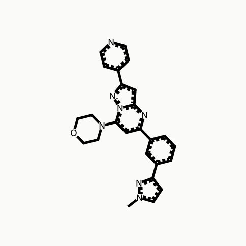 Cn1ccc(-c2cccc(-c3cc(N4CCOCC4)n4nc(-c5ccncc5)cc4n3)c2)n1